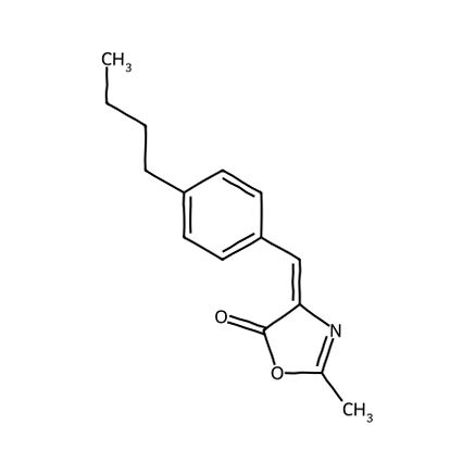 CCCCc1ccc(C=C2N=C(C)OC2=O)cc1